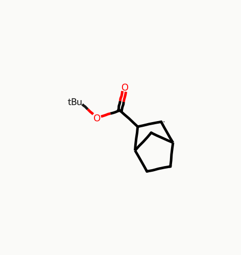 CC(C)(C)OC(=O)C1[CH]C2CCC1C2